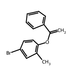 C=C(Oc1ccc(Br)cc1C)c1ccccc1